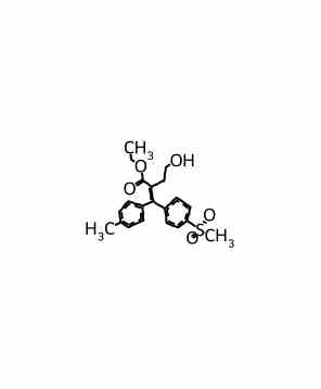 CCOC(=O)C(CCO)=C(c1ccc(C)cc1)c1ccc(S(C)(=O)=O)cc1